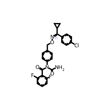 NC(=O)N(C(=O)c1c(F)cccc1F)c1ccc(CO/N=C(\c2ccc(Cl)cc2)C2CC2)cc1